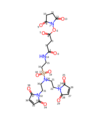 O=C(CCC(=O)ON1C(=O)CCC1=O)NCCS(=O)(=O)N(CCN1C(=O)C=CC1=O)CCN1C(=O)C=CC1=O